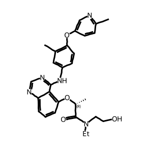 CCN(CCO)C(=O)[C@@H](C)Oc1cccc2ncnc(Nc3ccc(Oc4ccc(C)nc4)c(C)c3)c12